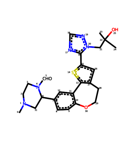 CN1CCN(C=O)C(c2ccc3c(c2)-c2sc(-c4ncnn4CC(C)(C)O)cc2CCO3)C1